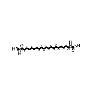 O=C(CCCCCCCCCCCCCCCCCCCNC(=S)S)NO